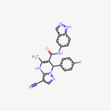 CC1=C(C(=O)Nc2ccc3[nH]ncc3c2)C(c2ccc(F)cc2)n2ncc(C#N)c2N1